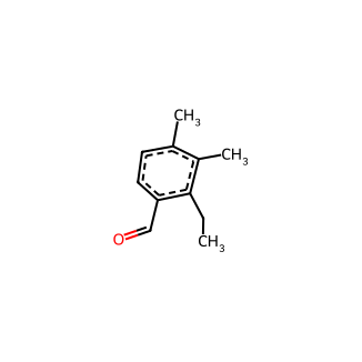 CCc1c(C=O)ccc(C)c1C